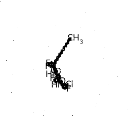 CCCCCCCCCCCCCCCCN1CC(F)(F)CC1COC(=O)N[C@H]1CCc2c(C(=O)Nc3ccc(F)c(Cl)c3)ccc(F)c21